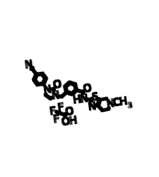 CN1CCc2nc(NC(=O)c3cccc(CN4CCN(c5ccc(C#N)cc5)C4=O)c3)sc2C1.O=C(O)C(F)(F)F